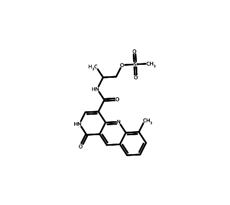 Cc1cccc2cc3c(=O)[nH]cc(C(=O)NC(C)COS(C)(=O)=O)c3nc12